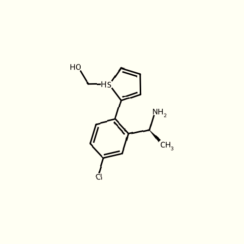 C[C@H](N)c1cc(Cl)ccc1C1=CC=C[SH]1CO